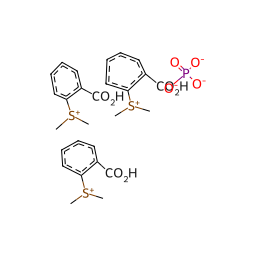 C[S+](C)c1ccccc1C(=O)O.C[S+](C)c1ccccc1C(=O)O.C[S+](C)c1ccccc1C(=O)O.O=P([O-])([O-])[O-]